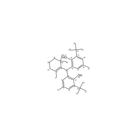 CC1=C(C(c2cc(C)cc(C(C)(C)C)c2O)c2cc(C)cc(C(C)(C)C)c2O)C(C)(C)CCC1